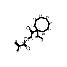 C=C(C)C(=O)OCC(=O)C1(CC)CCCCCCC1